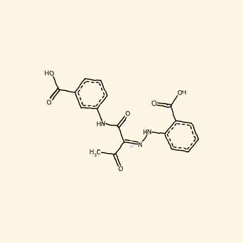 CC(=O)/C(=N/Nc1ccccc1C(=O)O)C(=O)Nc1cccc(C(=O)O)c1